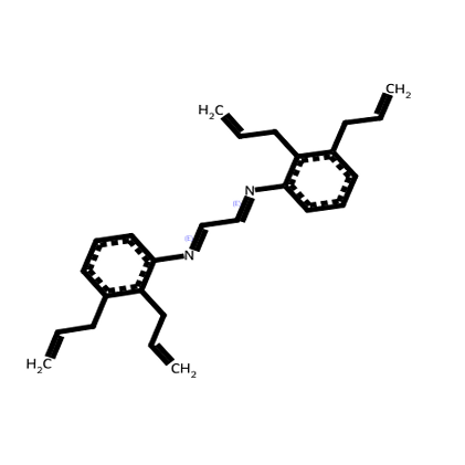 C=CCc1cccc(/N=C/C=N/c2cccc(CC=C)c2CC=C)c1CC=C